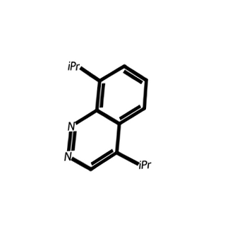 CC(C)c1cnnc2c(C(C)C)cccc12